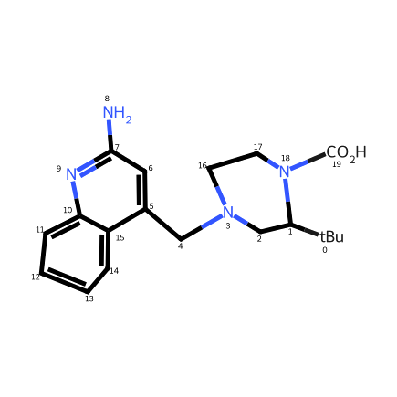 CC(C)(C)C1CN(Cc2cc(N)nc3ccccc23)CCN1C(=O)O